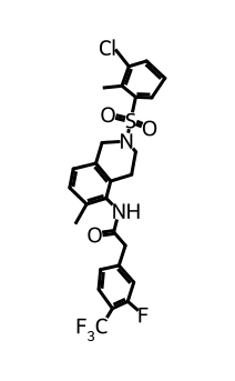 Cc1ccc2c(c1NC(=O)Cc1ccc(C(F)(F)F)c(F)c1)CCN(S(=O)(=O)c1cccc(Cl)c1C)C2